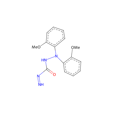 COc1ccccc1N(NC(=O)N=N)c1ccccc1OC